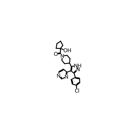 O=C(N1CCC(c2[nH]nc(-c3ccc(Cl)cc3)c2-c2ccncn2)CC1)C1(O)CCCC1